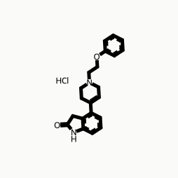 Cl.O=C1Cc2c(cccc2C2=CCN(CCOc3ccccc3)CC2)N1